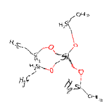 C[SiH2]O[Si](O[SiH2]C)(O[SiH2]C)O[SiH2]C